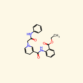 CCOC(=O)c1ccccc1NC(=O)C1=CN(CC(=O)Nc2ccccc2)C=CC1